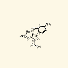 C[C@@H](O)[C@H]1O[C@@H](n2ccc(N)nc2=O)C(F)C1O[PH](=O)O